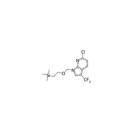 C[Si](C)(C)CCOCn1cc(C(F)(F)F)c2ccc(Cl)nc21